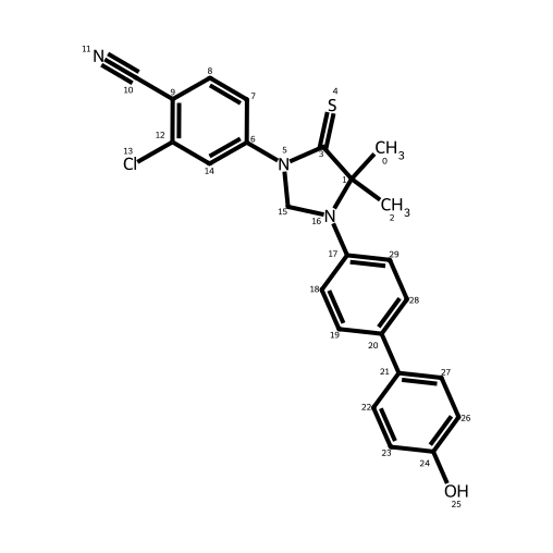 CC1(C)C(=S)N(c2ccc(C#N)c(Cl)c2)CN1c1ccc(-c2ccc(O)cc2)cc1